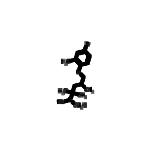 Cc1cc(Br)ccc1OC[C@@H](C)CC(C)(C)N(C(=O)O)C(C)(C)C